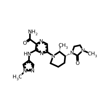 C[C@@H]1[C@H](N2CCN(C)C2=O)CCCN1c1cnc(C(N)=O)c(Nc2cnn(C)c2)n1